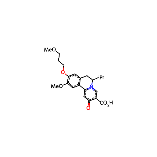 COCCCOc1cc2c(cc1OC)-c1cc(=O)c(C(=O)O)cn1C(C(C)C)C2